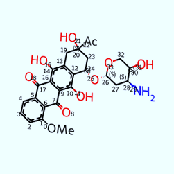 COc1cccc2c1C(=O)c1c(O)c3c(c(O)c1C2=O)C[C@@](O)(C(C)=O)C[C@@H]3O[C@H]1C[C@H](N)[C@H](O)CO1